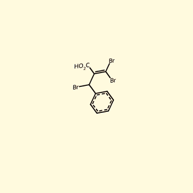 O=C(O)C(=C(Br)Br)C(Br)c1ccccc1